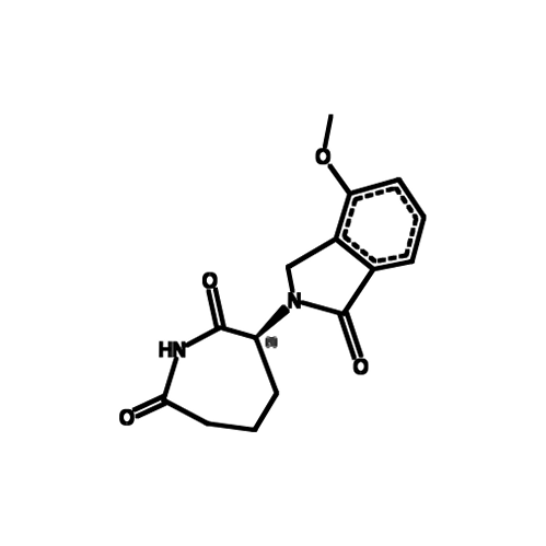 COc1cccc2c1CN([C@H]1CCCC(=O)NC1=O)C2=O